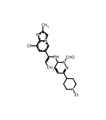 C/C=C(\PC1C=CC(C2CCN(CC)CC2)=NN1C=O)c1cc(Cl)c2nc(C)cn2c1